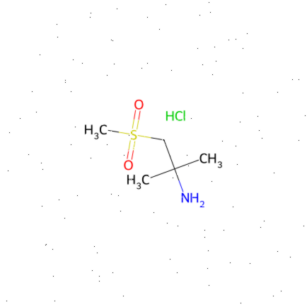 CC(C)(N)CS(C)(=O)=O.Cl